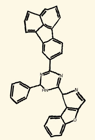 C1=NC(C2=NC(c3ccc4c(c3)-c3cccc5cccc-4c35)=NC(c3ccccc3)N2)c2c1oc1ccccc21